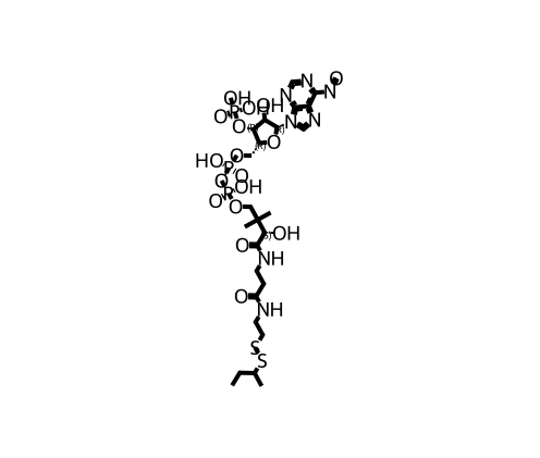 CCC(C)SSCCNC(=O)CCNC(=O)[C@@H](O)C(C)(C)COP(=O)(O)OP(=O)(O)OC[C@H]1O[C@@H](n2cnc3c(N=O)ncnc32)C(O)[C@H]1OP(=O)(O)O